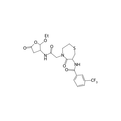 CCOC1OC(=O)CC1NC(=O)CN1CCSCC(NC(=O)c2cccc(C(F)(F)F)c2)C1=O